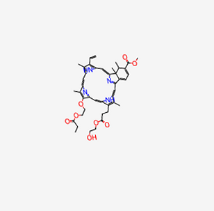 C=Cc1c(C)c2cc3nc(cc4[nH]c(cc5nc(cc1[nH]2)C1(C)C5=CC=C(C(=O)OC)C1C)c(C)c4CCC(=O)OCCO)C(OCCOC(=O)CC)=C3C